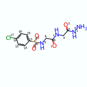 NNC(=O)CNC(=O)CNS(=O)(=O)c1ccc(Cl)cc1